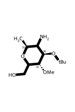 CO[C@@H]1C(CO)O[C@@H](C)C(N)[C@H]1OC(C)(C)C